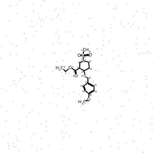 CCOC(=O)C1CN(S(C)(=O)=O)CCC1SCc1ccc(OC)cc1